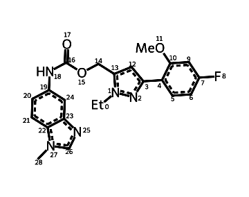 CCn1nc(-c2ccc(F)cc2OC)cc1COC(=O)Nc1ccc2c(c1)ncn2C